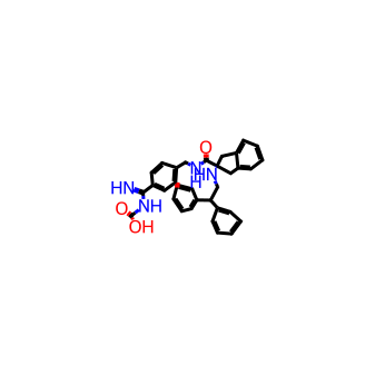 N=C(NC(=O)O)c1ccc(CNC(=O)C2(NCC(c3ccccc3)c3ccccc3)Cc3ccccc3C2)cc1